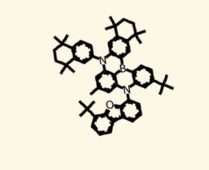 Cc1cc2c3c(c1)N(c1cccc4c1oc1c(C(C)(C)C)cccc14)c1cc(C(C)(C)C)ccc1B3c1cc3c(cc1N2c1ccc2c(c1)C(C)(C)CCC2(C)C)C(C)(C)CCC3(C)C